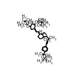 C[C@H](C#Cc1ccc(C(C)(C)O[Si](C)(C)C)cc1)[C@H]1CC[C@H]2/C(=C/C=C3C[C@@H](O[Si](C)(C)C(C)(C)C)C[C@H](O[Si](C)(C)C(C)(C)C)C3)CCC[C@]12C